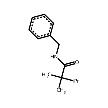 CC(C)C(C)(C)C(=O)NCc1ccccc1